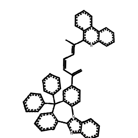 C=C(/C=C\C=C(/C)c1nc2ccccc2c2ccccc12)c1ccc2c(c1)C(c1ccccc1)(c1ccccc1)c1ccccc1-c1nc3ccccc3n1-2